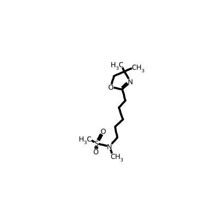 CN(CCCCCC1=NC(C)(C)CO1)S(C)(=O)=O